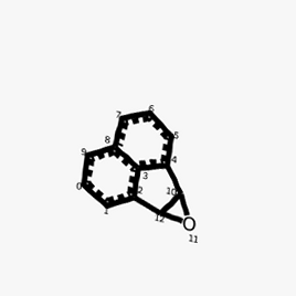 c1cc2c3c(cccc3c1)C1OC21